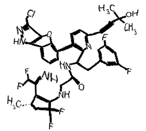 C[C@H]1CC(F)(F)C(NCC(=O)NC(Cc2cc(F)cc(F)c2)c2nc(C#CC(C)(C)O)ccc2-c2cccc3c2oc2c(Cl)n[nH]c23)=C1C(=N)C(F)F